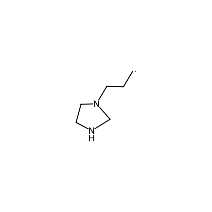 [CH2]CCN1CCNC1